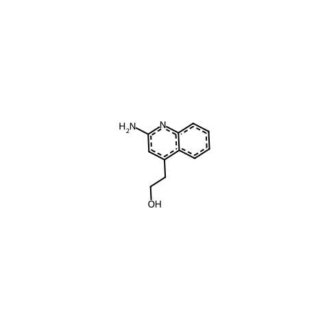 Nc1cc(CCO)c2ccccc2n1